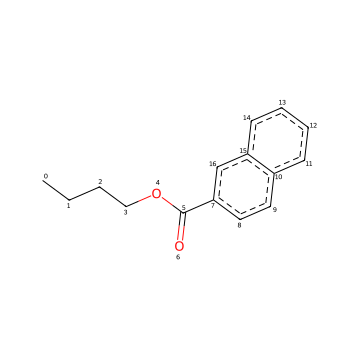 CCCCOC(=O)c1ccc2ccccc2c1